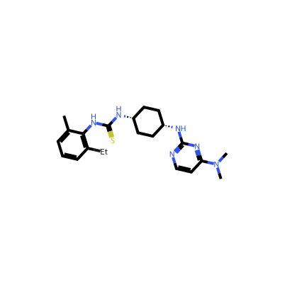 CCc1cccc(C)c1NC(=S)N[C@H]1CC[C@@H](Nc2nccc(N(C)C)n2)CC1